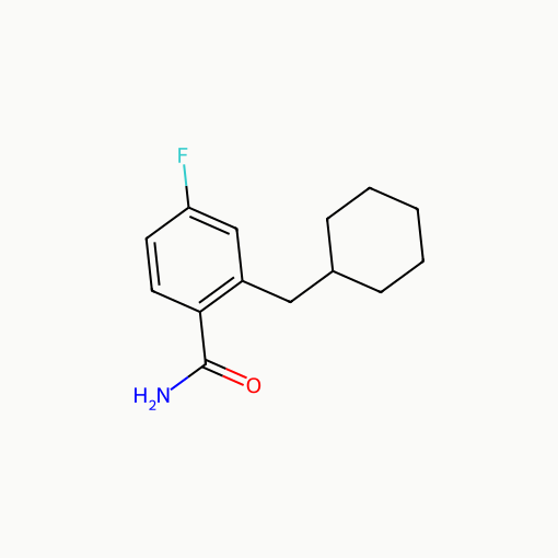 NC(=O)c1ccc(F)cc1CC1CCCCC1